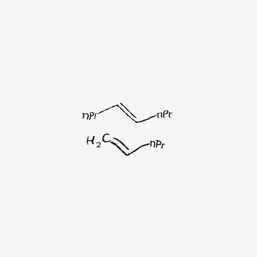 C=CCCC.CCCC=CCCC